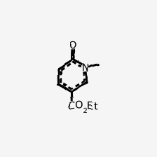 CCOC(=O)c1ccc(=O)n(C)c1